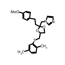 COc1ccc(CCC2(Cn3ccnc3)OCC(CSc3cc(C)ccc3C)O2)cc1